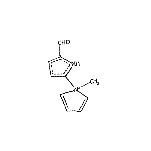 C[N+]1(c2ccc(C=O)[nH]2)C=CC=C1